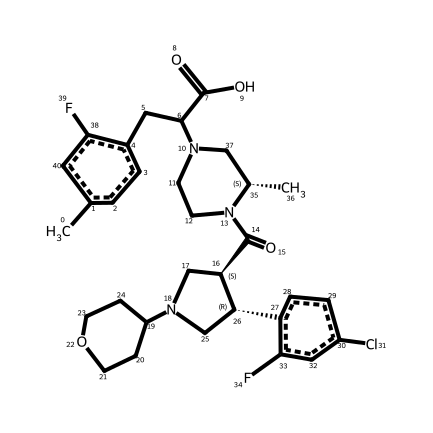 Cc1ccc(CC(C(=O)O)N2CCN(C(=O)[C@@H]3CN(C4CCOCC4)C[C@H]3c3ccc(Cl)cc3F)[C@@H](C)C2)c(F)c1